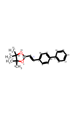 CC1(C)OB(/C=C/c2ccc(-c3ccccc3)cc2)OC1(C)C